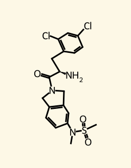 CN(c1ccc2c(c1)CN(C(=O)[C@H](N)Cc1ccc(Cl)cc1Cl)C2)S(C)(=O)=O